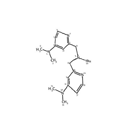 CN(C)c1ccnc(CN(Cc2cc(N(C)C)ccn2)C(C)(C)C)c1